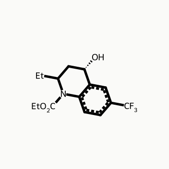 CCOC(=O)N1c2ccc(C(F)(F)F)cc2[C@@H](O)CC1CC